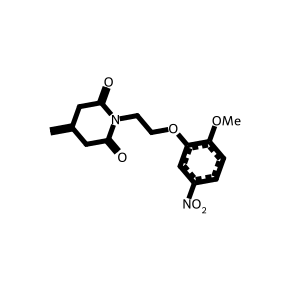 C=C1CC(=O)N(CCOc2cc([N+](=O)[O-])ccc2OC)C(=O)C1